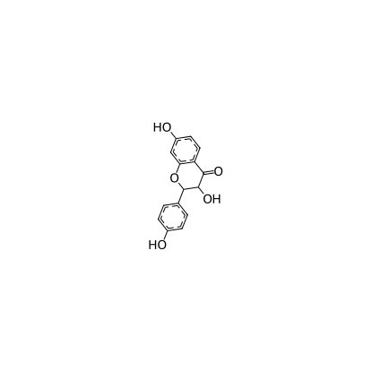 O=C1c2ccc(O)cc2OC(c2ccc(O)cc2)C1O